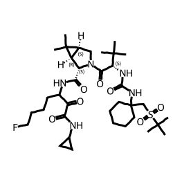 CC(C)(C)[C@H](NC(=O)NC1(CS(=O)(=O)C(C)(C)C)CCCCC1)C(=O)N1C[C@H]2[C@@H]([C@H]1C(=O)NC(CCCCF)C(=O)C(=O)NC1CC1)C2(C)C